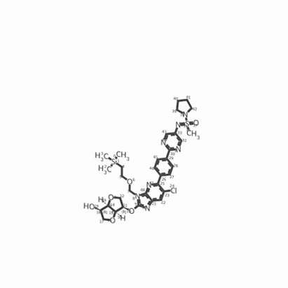 C[Si](C)(C)CCOCn1c(O[C@@H]2CO[C@H]3[C@@H]2OC[C@H]3O)nc2cc(Cl)c(-c3ccc(-c4ncc(N=S(C)(=O)N5CCCC5)cn4)cc3)nc21